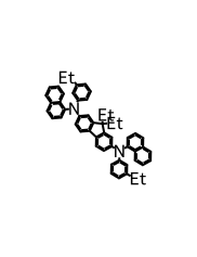 CCc1cccc(N(c2ccc3c(c2)C(CC)(CC)c2cc(N(c4cccc(CC)c4)c4cccc5ccccc45)ccc2-3)c2cccc3ccccc23)c1